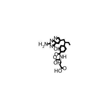 CCC(Cc1cnc2nc(N)nc(O)c2c1)c1ccc(C(=O)N[C@@H](CCC(=O)O)C(=O)O)cc1